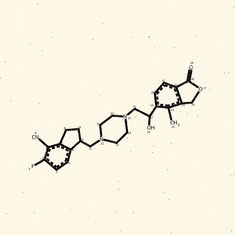 [C-]#[N+]c1c(F)ccc2c1CCC2CN1CCN(CC(O)c2ccc3c(c2C)COC3=O)CC1